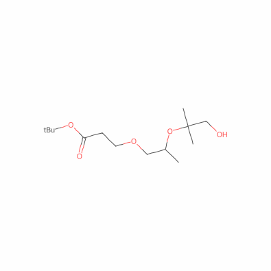 CC(COCCC(=O)OC(C)(C)C)OC(C)(C)CO